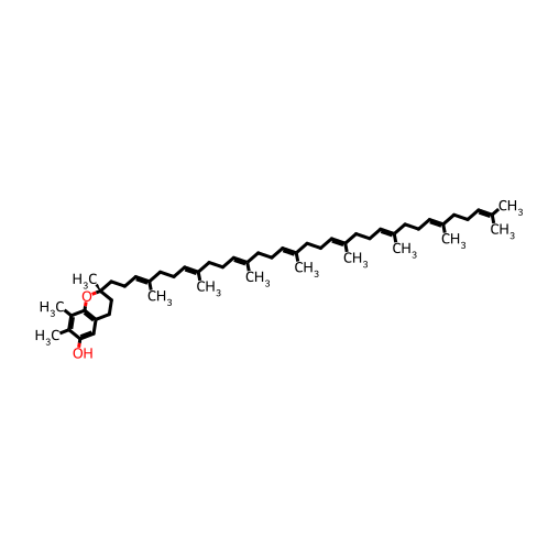 CC(C)=CCC/C(C)=C/CC/C(C)=C/CC/C(C)=C/CC/C(C)=C/CC/C(C)=C/CC/C(C)=C/CC/C(C)=C/CC[C@]1(C)CCc2cc(O)c(C)c(C)c2O1